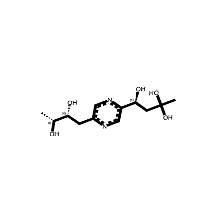 C[C@@H](O)[C@H](O)Cc1cnc([C@@H](O)CC(C)(O)O)cn1